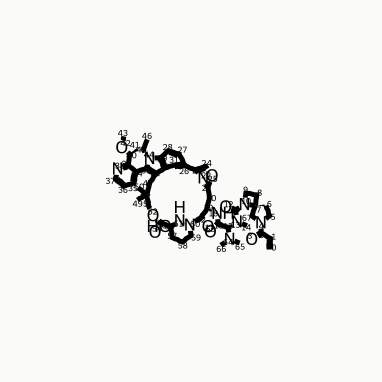 C=CC(=O)N1CC[C@]2(CCN2C(=O)N(C)[C@H](C(=O)N[C@H]2Cc3nc(co3)-c3ccc4c(c3)c(c(-c3cccnc3[C@H](C)OC)n4CC)CC(C)(C)COC(=O)[C@@]3(O)CCCN(N3)C2=O)N(C)C)C1